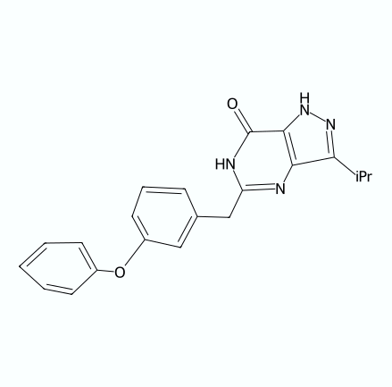 CC(C)c1n[nH]c2c(=O)[nH]c(Cc3cccc(Oc4ccccc4)c3)nc12